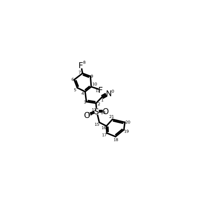 N#CC(=Cc1ccc(F)cc1F)S(=O)(=O)Cc1ccccc1